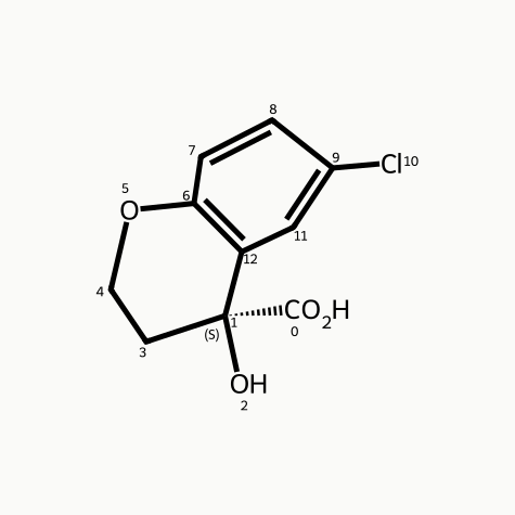 O=C(O)[C@]1(O)CCOc2ccc(Cl)cc21